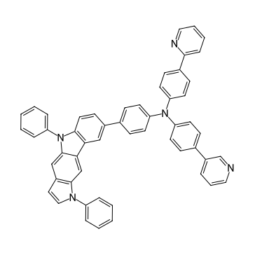 c1ccc(-n2ccc3cc4c(cc32)c2cc(-c3ccc(N(c5ccc(-c6cccnc6)cc5)c5ccc(-c6ccccn6)cc5)cc3)ccc2n4-c2ccccc2)cc1